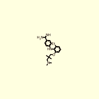 CCc1c[c]cc(OCC(C)(C)CN(C)C)c1Nc1ccc(C(=N)N)cc1